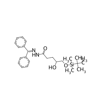 CC(C)(C)[Si](C)(C)OCC(O)CCC(=O)NN=C(c1ccccc1)c1ccccc1